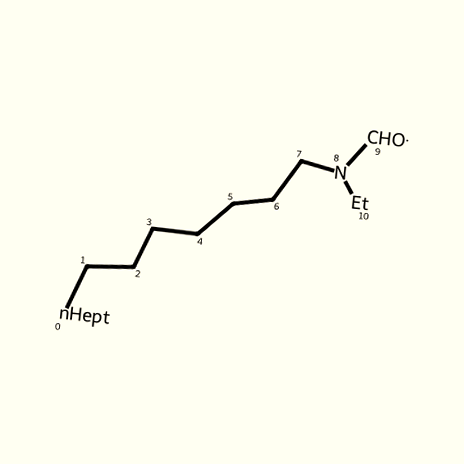 CCCCCCCCCCCCCCN([C]=O)CC